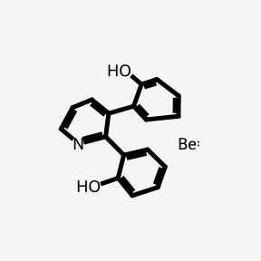 Oc1ccccc1-c1cccnc1-c1ccccc1O.[Be]